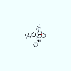 FC(F)(F)Oc1cccc(C(CNc2ccccc2)(Cc2ccccc2)c2cccc(OC(F)(F)F)c2)c1